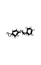 COc1ccc(N=Nc2ccccc2)cc1